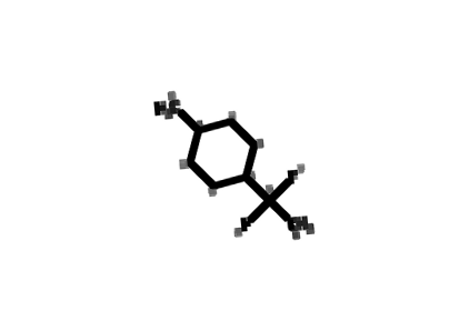 CC1CCC(C(C)(F)F)CC1